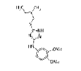 CC=C(C)CSc1nc(Nc2ccc(OC)c(OC)c2)n[nH]1